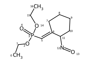 CCOP(=O)(C=C1CCCCC1N=O)OCC